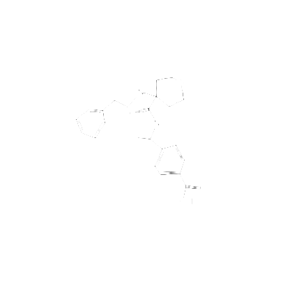 CC(NC(=O)C1(NCCc2ccccc2)CCOCC1)c1ccc(C(=O)O)cc1